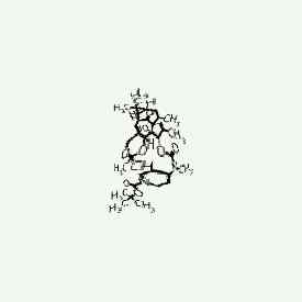 CC1=C[C@]23C(=O)[C@@H](C=C4COC(C)(C)O[C@H]4[C@]2(O)[C@H]1OC(=O)N(C)C1CCN(C(=O)OC(C)(C)C)CC1)[C@H]1[C@@H](C[C@H]3C)C1(C)C